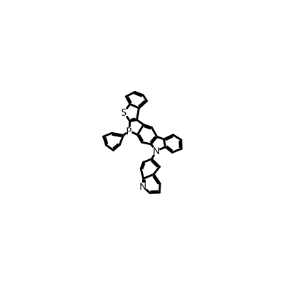 c1ccc(-p2c3cc4c(cc3c3c5ccccc5sc32)c2ccccc2n4-c2ccc3ncccc3c2)cc1